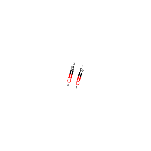 [B]=O.[B]=O